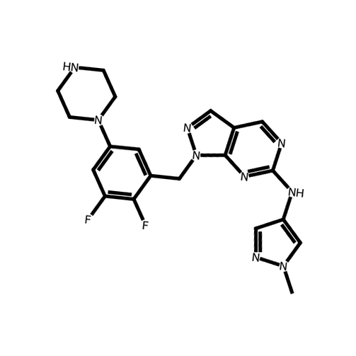 Cn1cc(Nc2ncc3cnn(Cc4cc(N5CCNCC5)cc(F)c4F)c3n2)cn1